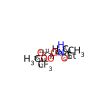 CCC(C)(C)C(=O)NCOC(=O)CC(=O)OC(C)C(F)(F)F